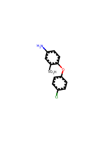 Nc1ccc(Oc2ccc(Cl)cc2)c(S(=O)(=O)O)c1